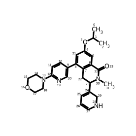 CC(C)Oc1cc2c(c(-c3ccc(N4CCOCC4)nc3)c1)CC(C1=CC=CNC1)N(C)C2=O